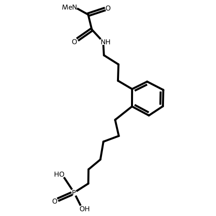 CNC(=O)C(=O)NCCCc1ccccc1CCCCCCP(=O)(O)O